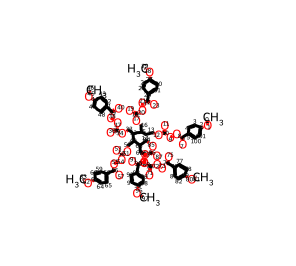 COc1ccc(C(=O)OOC(=O)OCCC(COC(=O)OOC(=O)c2ccc(OC)cc2)C(COC(=O)OOC(=O)c2ccc(OC)cc2)C(COC(=O)OOC(=O)c2ccc(OC)cc2)C(CCOC(=O)OOC(=O)c2ccc(OC)cc2)COC(=O)OOC(=O)c2ccc(OC)cc2)cc1